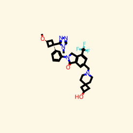 CO[C@H]1C[C@](c2cccc(N3Cc4c(cc(CN5CCC6(CC5)CC(O)C6)cc4C(F)(F)F)C3=O)c2)(c2nncn2C)C1